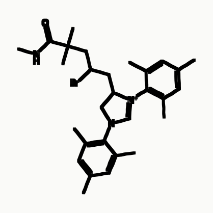 CNC(=O)C(C)(C)CC(Br)CC1CN(c2c(C)cc(C)cc2C)C=[N+]1c1c(C)cc(C)cc1C